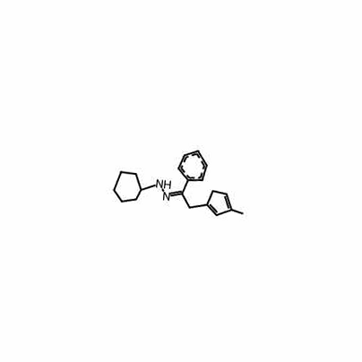 CC1=CCC(CC(=NNC2CCCCC2)c2ccccc2)=C1